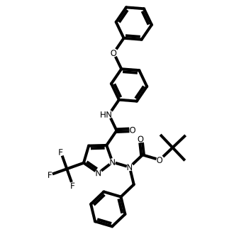 CC(C)(C)OC(=O)N(Cc1ccccc1)n1nc(C(F)(F)F)cc1C(=O)Nc1cccc(Oc2ccccc2)c1